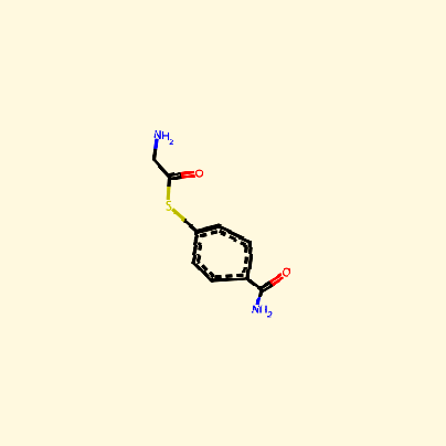 NCC(=O)Sc1ccc(C(N)=O)cc1